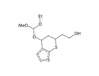 CCOC(OC)OC1CC(CCO)Sc2sccc21